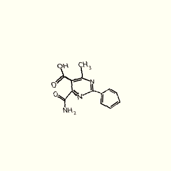 Cc1nc(-c2ccccc2)nc(C(N)=O)c1C(=O)O